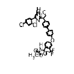 CCC(c1ccc(-c2ccc(Oc3ccc(C(=O)NS(C)(=O)=O)c(C(F)(F)F)c3)cc2)cc1)c1nc(-c2ccc(Cl)cc2Cl)c[nH]1